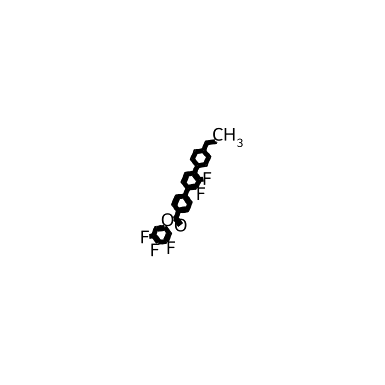 CCCC1CCC(c2ccc(-c3ccc(C(=O)Oc4cc(F)c(F)c(F)c4)cc3)c(F)c2F)CC1